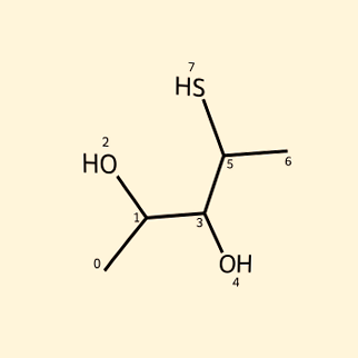 CC(O)C(O)C(C)S